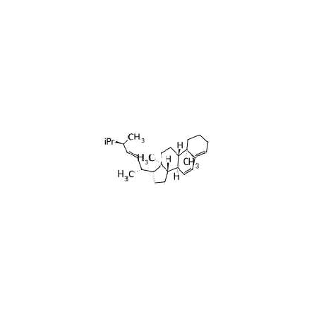 CC(C)[C@@H](C)/C=C/[C@@H](C)[C@H]1CC[C@H]2[C@@H]3C=CC4=CCCC[C@]4(C)[C@H]3CC[C@]12C